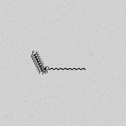 CCCCCCCCCCCCCCCCCOS(=O)(=O)C(F)(F)C(F)(F)C(F)(F)C(F)(F)C(F)(F)C(F)(F)C(F)(F)C(F)(F)F